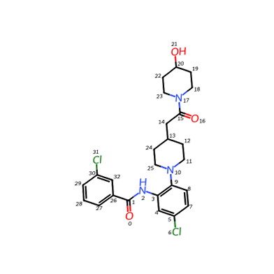 O=C(Nc1cc(Cl)ccc1N1CCC(CC(=O)N2CCC(O)CC2)CC1)c1cccc(Cl)c1